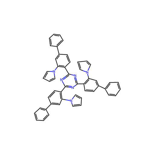 c1ccc(-c2ccc(-c3nc(-c4ccc(-c5ccccc5)cc4-n4cccc4)nc(-c4ccc(-c5ccccc5)cc4-n4cccc4)n3)c(-n3cccc3)c2)cc1